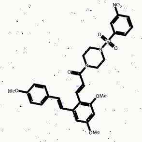 COc1ccc(/C=C/c2cc(OC)cc(OC)c2/C=C/C(=O)N2CCN(S(=O)(=O)c3cccc([N+](=O)[O-])c3)CC2)cc1